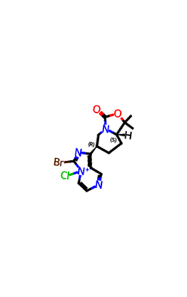 CC1(C)OC(=O)N2C[C@H](C3=C4C=NC=C[N+]4(Cl)C(Br)=N3)CC[C@H]21